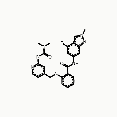 CN(C)C(=O)Nc1cc(CNc2ccccc2C(=O)Nc2cc(F)c3cn(C)nc3c2)ccn1